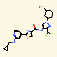 O=C(Nc1cn(C2CCCC(C(=O)O)C2)nc1C(F)F)c1coc(-c2ccnc(NCC3CC3)c2)n1